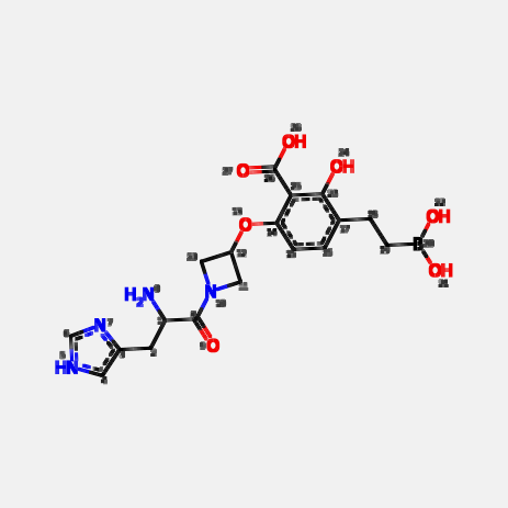 NC(Cc1c[nH]cn1)C(=O)N1CC(Oc2ccc(CCB(O)O)c(O)c2C(=O)O)C1